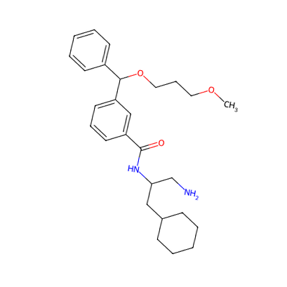 COCCCOC(c1ccccc1)c1cccc(C(=O)NC(CN)CC2CCCCC2)c1